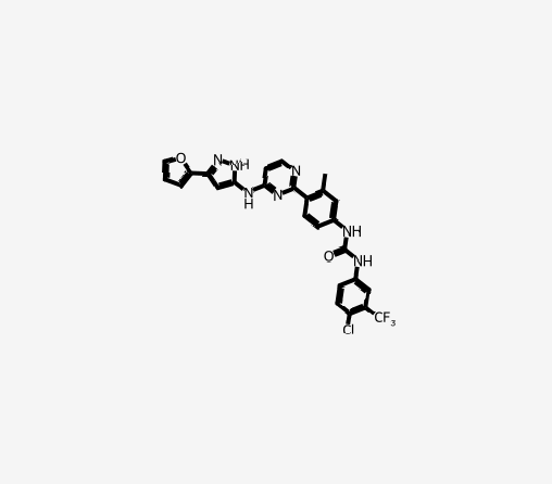 Cc1cc(NC(=O)Nc2ccc(Cl)c(C(F)(F)F)c2)ccc1-c1nccc(Nc2cc(-c3ccco3)n[nH]2)n1